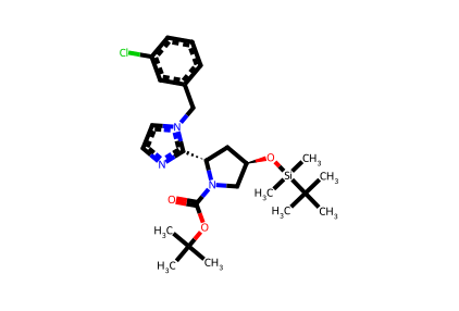 CC(C)(C)OC(=O)N1C[C@H](O[Si](C)(C)C(C)(C)C)C[C@H]1c1nccn1Cc1cccc(Cl)c1